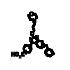 O=C(O)N1CCN(c2nc(OCCCN3CCOCC3)nc3c2CCN(Cc2ccccc2)C3)CC1